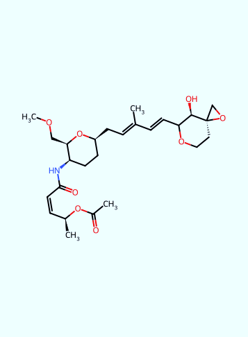 COC[C@H]1O[C@@H](C/C=C(C)/C=C/C2OCC[C@@]3(CO3)[C@@H]2O)CC[C@H]1NC(=O)/C=C\[C@H](C)OC(C)=O